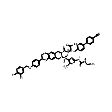 CCNC(=O)Nc1nc(S(=O)(=O)N2Cc3cc4c(cc3C[C@H]2C(=O)N[C@@H](Cc2ccc(-c3ccc(C#N)cc3)cc2)C(=O)O)OCC(c2ccc(OCc3ccc(Cl)c(Cl)c3)cc2)O4)c(C)s1